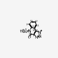 CCCCn1c(=O)c2nnn(C)c2c2ccccc21